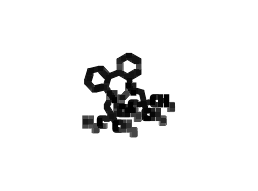 CC(C)(C)CN1CN(CC(C)(C)C)c2ccccc2-c2ccccc21